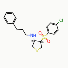 O=S(=O)(c1ccc(Cl)cc1)[C@H]1CSC[C@@H]1NCCCc1ccccc1